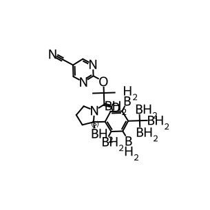 Bc1c(B)c([C@]2(B)CCCN2C(=O)C(C)(C)Oc2ncc(C#N)cn2)c(B)c(B)c1C(B)(B)B